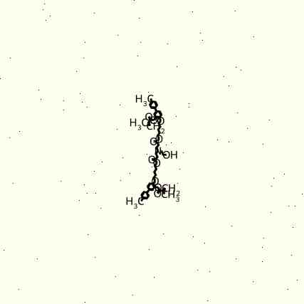 C=C(C)C(=O)Oc1cc(-c2ccc(C)cc2)ccc1OCCCCCOC(=O)CCN(CCO)CCC(=O)OCCCCCOc1ccc(-c2ccc(C)cc2)cc1OC(=O)C(=C)C